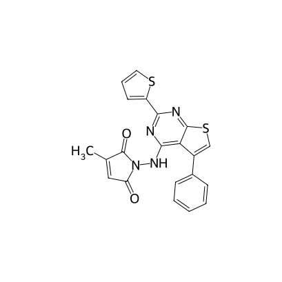 CC1=CC(=O)N(Nc2nc(-c3cccs3)nc3scc(-c4ccccc4)c23)C1=O